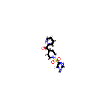 Cn1cnc(S(=O)(=O)N2CCC(C(=O)c3ccccn3)CC2)c1